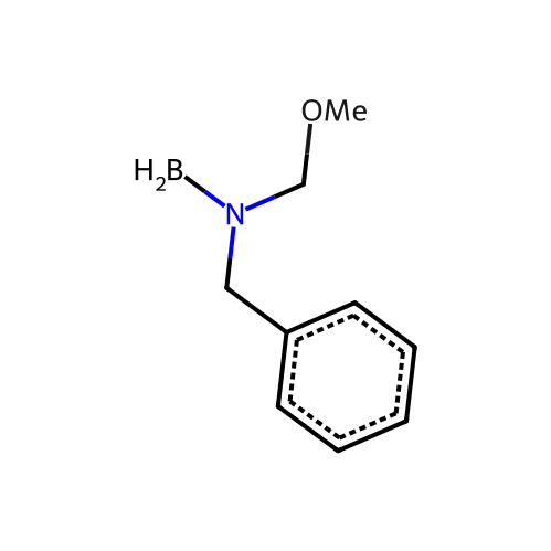 BN(COC)Cc1ccccc1